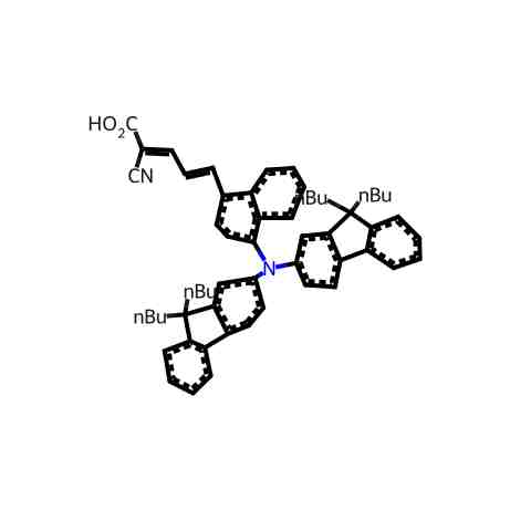 CCCCC1(CCCC)c2ccccc2-c2ccc(N(c3ccc4c(c3)C(CCCC)(CCCC)c3ccccc3-4)c3ccc(/C=C/C=C(\C#N)C(=O)O)c4ccccc34)cc21